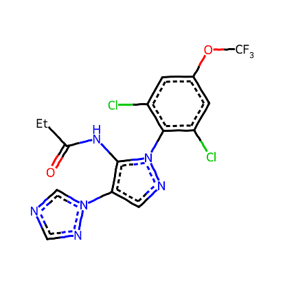 CCC(=O)Nc1c(-n2cncn2)cnn1-c1c(Cl)cc(OC(F)(F)F)cc1Cl